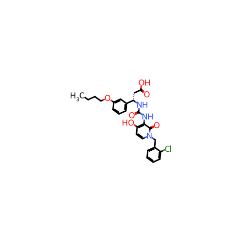 CCCCOc1cccc([C@H](CC(=O)O)NC(=O)Nc2c(O)ccn(Cc3ccccc3Cl)c2=O)c1